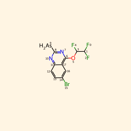 FC(F)C(F)Oc1nc([AsH2])nc2ccc(Br)cc12